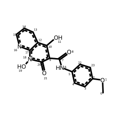 COc1ccc(NC(=O)c2c(O)c3cccnc3n(O)c2=O)cc1